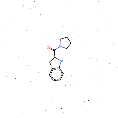 O=C(C1Cc2ccccc2N1)N1CCCC1